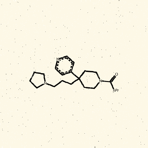 CCCC(=O)N1CCC(CCCN2CCCC2)(c2ccncc2)CC1